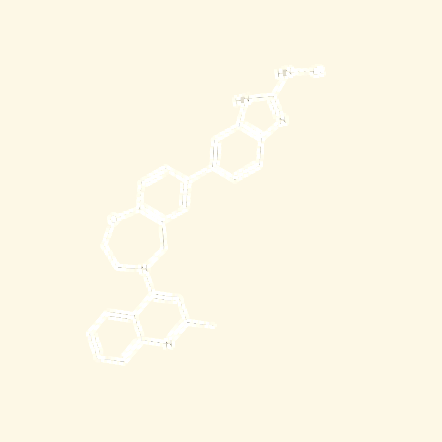 CCNc1nc2ccc(-c3ccc4c(c3)CN(c3cc(C)nc5ccccc35)CCO4)cc2[nH]1